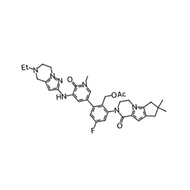 CCN1CCn2nc(Nc3cc(-c4cc(F)cc(N5CCn6c(cc7c6CC(C)(C)C7)C5=O)c4COC(C)=O)cn(C)c3=O)cc2C1